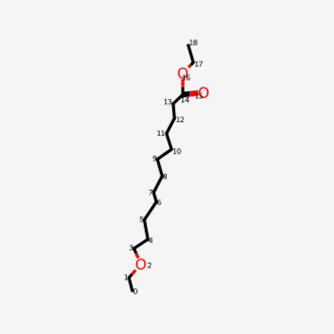 CCOCCCCCCCCCCCC(=O)OCC